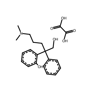 CN(C)CCCC(CO)(c1ccccc1)c1ccccc1O.O=C(O)C(=O)O